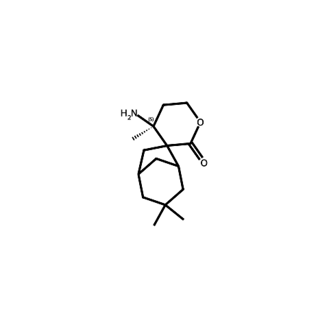 CC1(C)CC2CC(C1)C1(C2)C(=O)OCC[C@]1(C)N